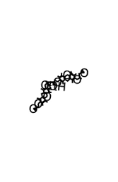 CCC(C)(CC(O)COc1c(C)c(C)c2c(c1C)Cc1c(C)c(OC(C)CC3CO3)c(C)c(C)c1O2)Oc1c(C)c(C)c2c(c1C)Cc1c(C)c(OCC3CO3)c(C)c(C)c1O2